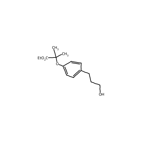 CCOC(=O)C(C)(C)Oc1ccc(CCCO)cc1